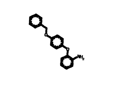 Nc1ccccc1Oc1ccc(OCc2ccccc2)cc1